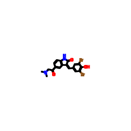 CN(C)CC(=O)c1ccc2c(c1)/C(=C/c1cc(Br)c(O)c(Br)c1)C(=O)N2